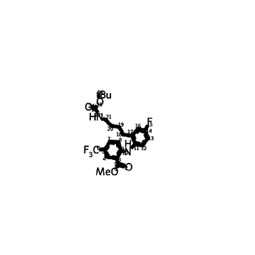 COC(=O)c1cc(C(F)(F)F)ccc1Nc1ccc(F)cc1CCCCNC(=O)OC(C)(C)C